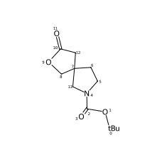 CC(C)(C)OC(=O)N1CCC2(COC(=O)C2)C1